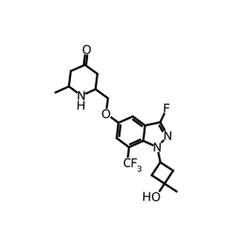 CC1CC(=O)CC(COc2cc(C(F)(F)F)c3c(c2)c(F)nn3C2CC(C)(O)C2)N1